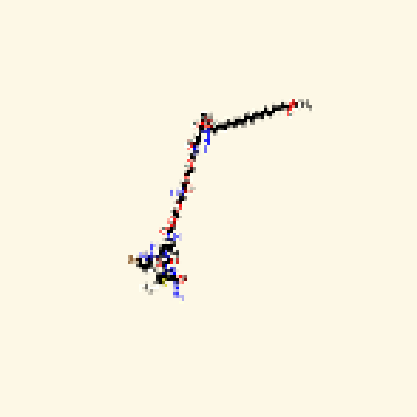 COC(=O)CCCCCCCCCCCCCCCCC(=O)N[C@@H](CCC(=O)NCCOCCOCC(=O)NCCOCCOCC(=O)NC[C@@]12C[C@@H](C(=O)Nc3nc(Br)ccc3C)N(C(=O)Cn3nc(C(N)=O)c4sc(C)cc43)[C@@H]1C2)C(=O)OC